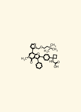 Cn1cc(-c2ccnn2COCC[Si](C)(C)C)c2oc(-c3ccc(C4(NC(=O)O)CCC4)cc3)c(-c3ccccc3)c2c1=O